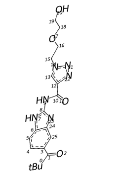 CC(C)(C)C(=O)c1ccc2[nH]c(NC(=O)c3cn(CCOCCO)nn3)nc2c1